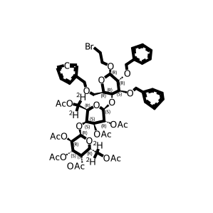 [2H]C([2H])(OC(C)=O)[C@H]1O[C@H](O[C@@H]2[C@H](OC(C)=O)[C@@H](OC(C)=O)[C@H](O[C@H]3[C@H](OCc4ccccc4)[C@@H](OCc4ccccc4)[C@H](OCCBr)O[C@@H]3COCc3ccccc3)O[C@@H]2C([2H])([2H])OC(C)=O)[C@H](OC(C)=O)[C@@H](OC(C)=O)[C@H]1OC(C)=O